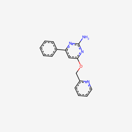 Nc1nc(OCc2ccccn2)cc(-c2ccccc2)n1